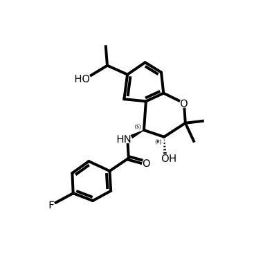 CC(O)c1ccc2c(c1)[C@H](NC(=O)c1ccc(F)cc1)[C@@H](O)C(C)(C)O2